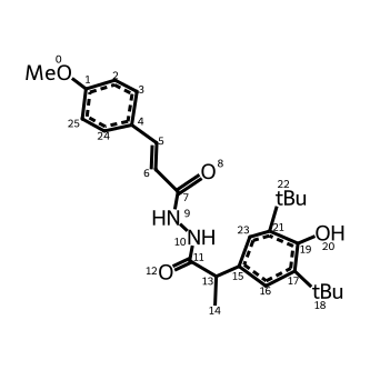 COc1ccc(/C=C/C(=O)NNC(=O)C(C)c2cc(C(C)(C)C)c(O)c(C(C)(C)C)c2)cc1